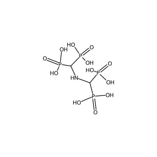 O=P(O)(O)C(NC(P(=O)(O)O)P(=O)(O)O)P(=O)(O)O